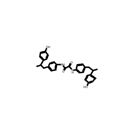 CC(Cc1ccc(NC(=O)C(=O)Nc2ccc(CC(C)c3ccc(O)cc3)cc2)cc1)c1ccc(O)cc1